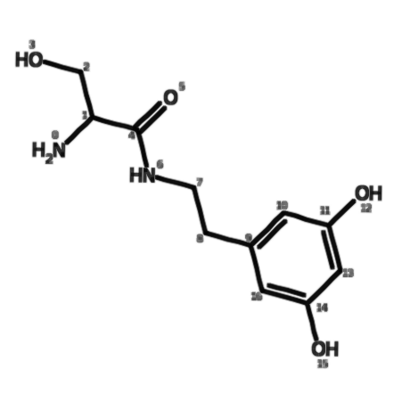 NC(CO)C(=O)NCCc1cc(O)cc(O)c1